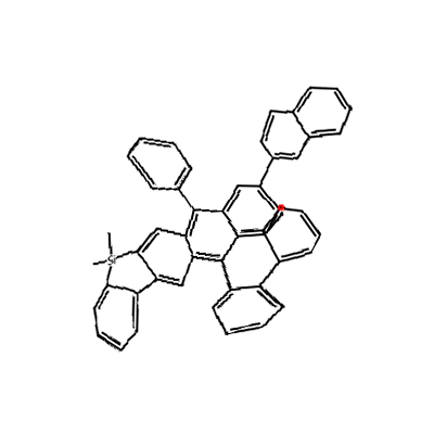 C[Si]1(C)c2ccccc2-c2cc3c(-c4ccccc4-c4ccccc4)c4ccc(-c5ccc6ccccc6c5)cc4c(-c4ccccc4)c3cc21